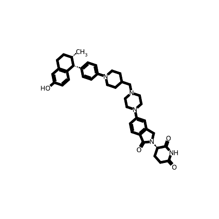 C[C@H]1CCc2cc(O)ccc2[C@H]1c1ccc(N2CCC(CN3CCN(c4ccc5c(c4)CN([C@H]4CCC(=O)NC4=O)C5=O)CC3)CC2)cc1